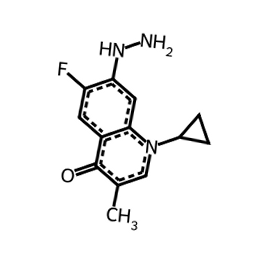 Cc1cn(C2CC2)c2cc(NN)c(F)cc2c1=O